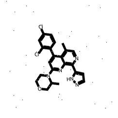 Cc1cnc(-c2ccn[nH]2)c2nc(N3CCOCC3C)cc(-c3ccc(Cl)cc3Cl)c12